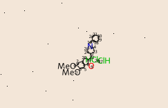 COc1cc2c(cc1OC)C(=O)C(CC1CCN(Cc3ccccc3)CC1)C2.Cl.Cl